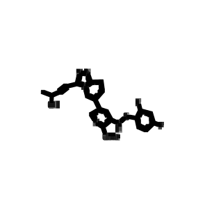 COc1ncc(-c2ccc3nnc(C#CC(C)O)n3c2)cc1NSc1ccc(F)cc1F